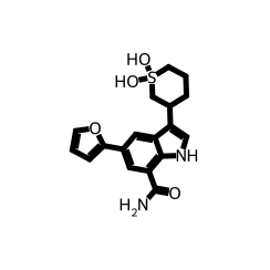 NC(=O)c1cc(-c2ccco2)cc2c(C3CCCS(O)(O)C3)c[nH]c12